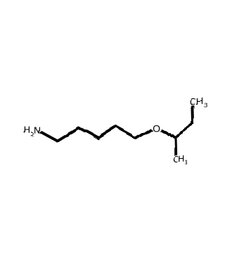 CCC(C)OCCCCCN